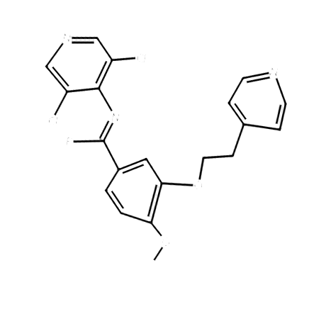 COc1ccc(C(F)=Nc2c(Cl)cncc2Cl)cc1OCCc1ccncc1